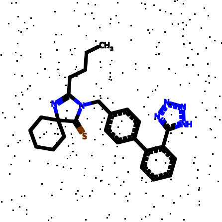 CCCCC1=NC2(CCCCC2)C(=S)N1Cc1ccc(-c2ccccc2-c2nnn[nH]2)cc1